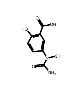 NC(=O)N(S)c1ccc(O)c(C(=O)O)c1